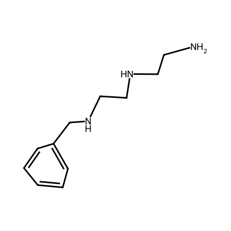 NCCNCCNCc1ccccc1